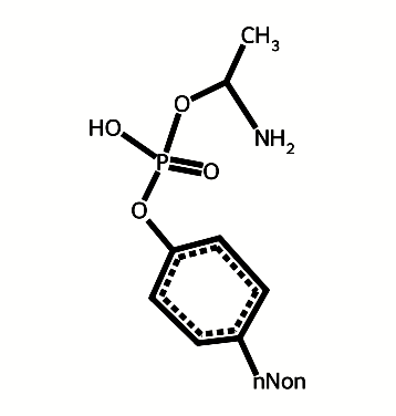 CCCCCCCCCc1ccc(OP(=O)(O)OC(C)N)cc1